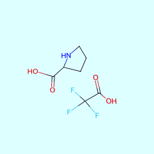 O=C(O)C(F)(F)F.O=C(O)C1CCCN1